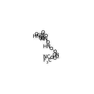 CC1(C)CN(Cc2ccc(-c3ccc(NCCOCCNc4cccc5c4C(=O)N(C4CCC(=O)NC4=O)C5=O)cc3)cc2)C(=O)C1Oc1ccc(C#N)c(C(F)(F)F)c1